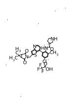 Cc1cc(Cl)cc(-c2ccnc3cc(CN4C(=O)C5C(C4=O)C5(C)C)sc23)c1NC(=O)[C@H]1CCNC1.O=C(O)C(F)(F)F